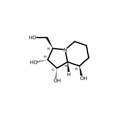 OC[C@@H]1[C@@H](O)[C@@H](O)[C@H]2[C@H](O)CCCN21